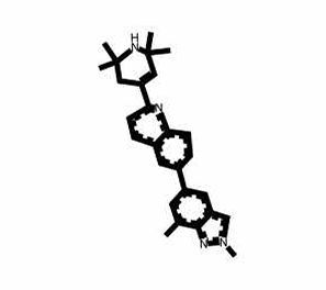 Cc1cc(-c2ccc3nc(C4=CC(C)(C)NC(C)(C)C4)ccc3c2)cc2cn(C)nc12